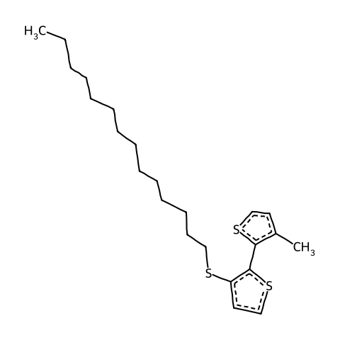 CCCCCCCCCCCCCCSc1ccsc1-c1sccc1C